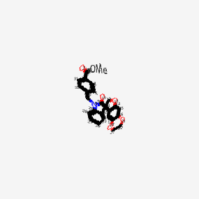 COC(=O)c1ccc(CN2C(=O)C3(COc4cc5c(cc43)OCCO5)c3ccccc32)cc1